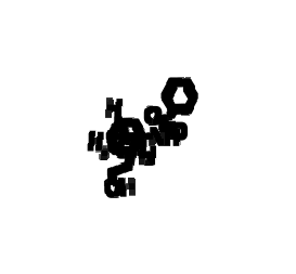 CC1(C)[C@@H]2CC[C@H](CCO)[C@@]1(NS(=O)(=O)c1ccccc1)C2